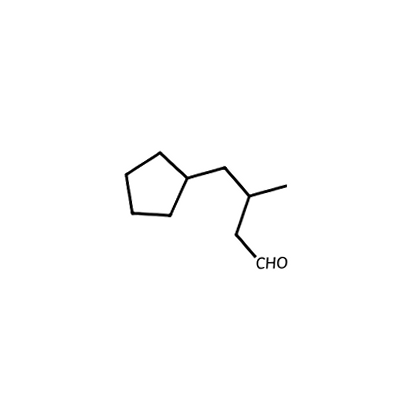 CC(CC=O)CC1CCCC1